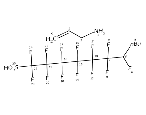 C=CCN.CCCCC(F)C(F)(F)C(F)(F)C(F)(F)C(F)(F)C(F)(F)C(F)(F)S(=O)(=O)O